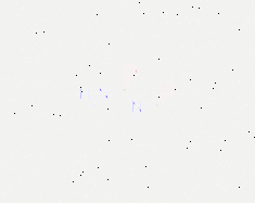 NC(=O)N1CC=CC1=O